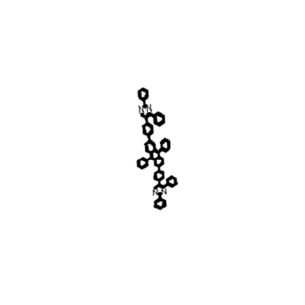 c1ccc(-c2ncc(-c3ccc(-c4ccc5c(-c6ccccc6)c6cc(-c7ccc(-c8cnc(-c9ccccc9)nc8-c8ccccc8)cc7)ccc6c(-c6ccccc6)c5c4)cc3)c(-c3ccccc3)n2)cc1